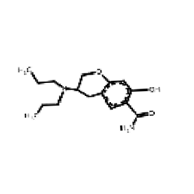 CCCN(CCC)C1COc2cc(O)c(C(N)=O)cc2C1